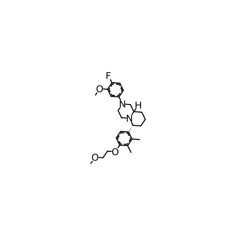 COCCOc1ccc([C@H]2CCC[C@H]3CN(c4ccc(F)c(OC)c4)CCN32)c(C)c1C